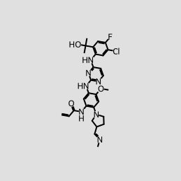 C=CC(=O)Nc1cc(Nc2nccc(Nc3cc(Cl)c(F)cc3C(C)(C)O)n2)c(OC)cc1N1CCC(/C=N/C)C1